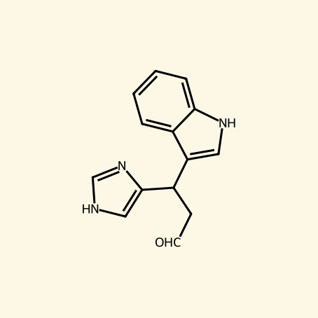 O=CCC(c1c[nH]cn1)c1c[nH]c2ccccc12